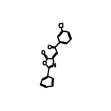 O=C1OC(c2ccccc2)=N/C1=C/C(=O)c1cccc(Cl)c1